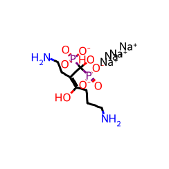 NCCCC(O)=C(CCN)C(O)(P(=O)([O-])[O-])P(=O)([O-])[O-].[Na+].[Na+].[Na+].[Na+]